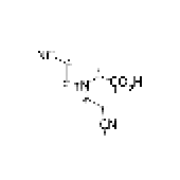 N#CCCN(CCC#N)CC(=O)O